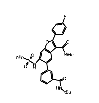 CCCS(=O)(=O)Nc1cc2oc(-c3ccc(F)cc3)c(C(=O)NC)c2cc1-c1cccc(C(=O)NC(C)(C)C)c1